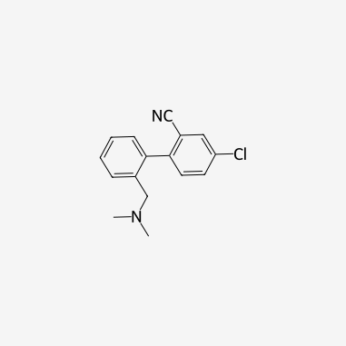 CN(C)Cc1ccccc1-c1ccc(Cl)cc1C#N